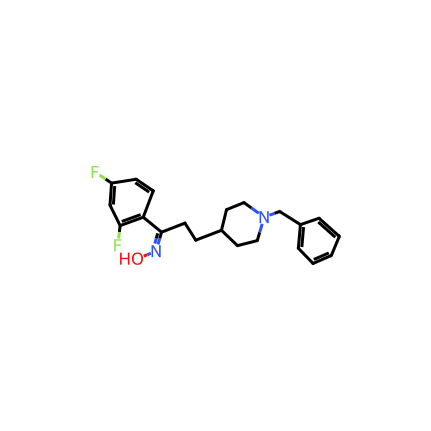 ON=C(CCC1CCN(Cc2ccccc2)CC1)c1ccc(F)cc1F